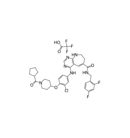 O=C(NCc1ccc(F)cc1F)C1=Cc2c(ncnc2Nc2ccc(OC3CCN(C(=O)C4CCCC4)CC3)c(Cl)c2)NCC1.O=C(O)C(F)(F)F